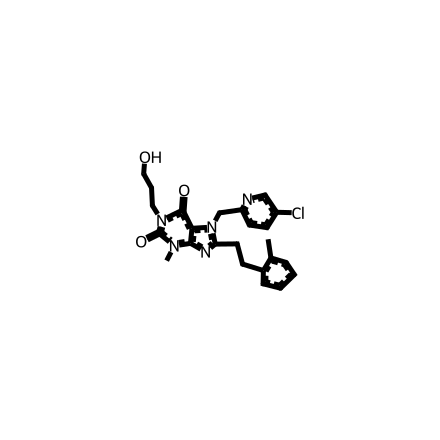 Cc1ccccc1CCc1nc2c(c(=O)n(CCCO)c(=O)n2C)n1Cc1ccc(Cl)cn1